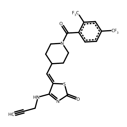 C#CCNC1=NC(=O)S/C1=C\C1CCN(C(=O)c2ccc(C(F)(F)F)cc2C(F)(F)F)CC1